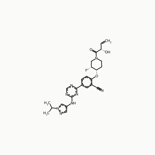 C=C[C@H](O)C(=O)N1CC[C@H](Oc2ccc(-c3ncnc(Nc4cnn(C(C)C)c4)n3)cc2C#N)[C@H](F)C1